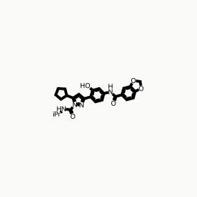 CC(C)NC(=O)n1nc(-c2ccc(NC(=O)c3ccc4c(c3)OCO4)cc2O)cc1C1CCCC1